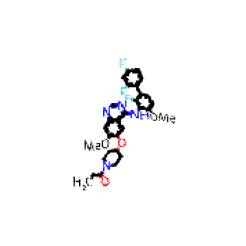 C=CC(=O)N1CCC(Oc2cc3c(Nc4c(OC)ccc(-c5ccc(F)cc5F)c4F)ncnc3cc2OC)CC1